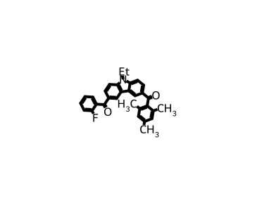 CCn1c2ccc(C(=O)c3ccccc3F)cc2c2cc(C(=O)c3c(C)cc(C)cc3C)ccc21